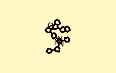 c1ccc(-c2cccc(-c3nc(-c4ccccc4)nc(-c4ccc(-c5cccc6oc7c8ccccc8c(-c8ccc9ccccc9c8)cc7c56)cc4)n3)c2)cc1